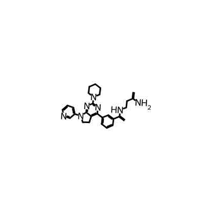 C=C(N)CCNC(=C)c1cccc(-c2nc(N3CCCCC3)nc3c2CCN3c2cccnc2)c1